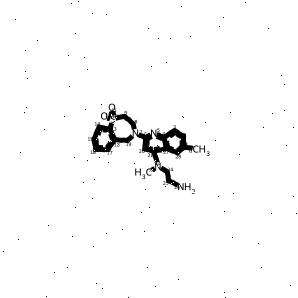 Cc1ccc2nc(N3CCS(=O)(=O)c4ccccc4C3)cc(N(C)CCN)c2c1